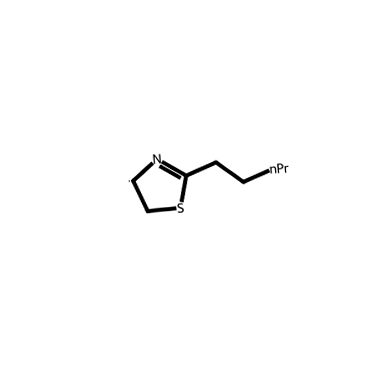 CCCCCC1=N[CH]CS1